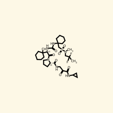 CN(CC(C)(F)F)S(=O)(=O)CC1(NC(=O)N[C@H](C(=O)N2CCC[C@H]2C(=O)NCC(=O)C(=O)NC2CC2)C2(C)CCCCC2)CCCCC1